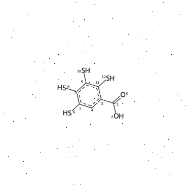 O=C(O)c1cc(S)c(S)c(S)c1S